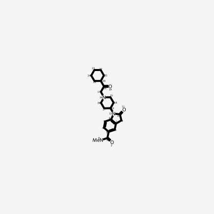 CNC(=O)c1ccc2c(c1)CC(=O)N2C1CCN(CC(=O)C2CCCCC2)CC1